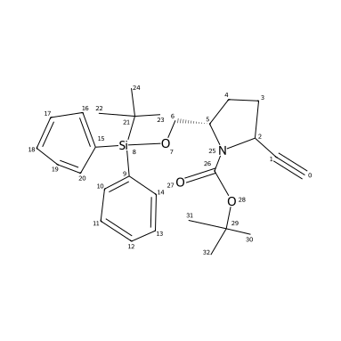 C#CC1CC[C@@H](CO[Si](c2ccccc2)(c2ccccc2)C(C)(C)C)N1C(=O)OC(C)(C)C